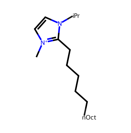 CCCCCCCCCCCCCc1n(C(C)C)cc[n+]1C